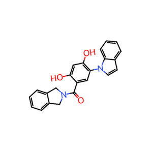 O=C(c1cc(-n2ccc3ccccc32)c(O)cc1O)N1Cc2ccccc2C1